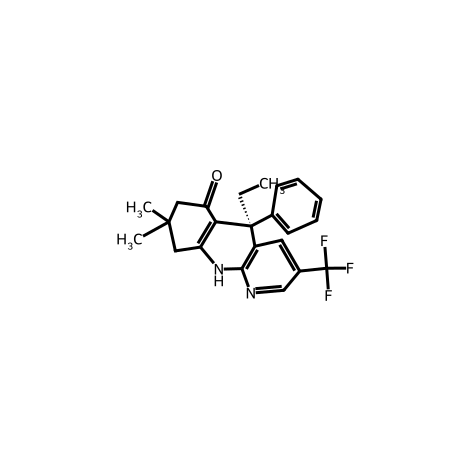 CC[C@@]1(c2ccccc2)C2=C(CC(C)(C)CC2=O)Nc2ncc(C(F)(F)F)cc21